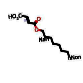 CCCCCCCCCCCCCCCCOC(=O)/C=C/C(=O)O.[NaH]